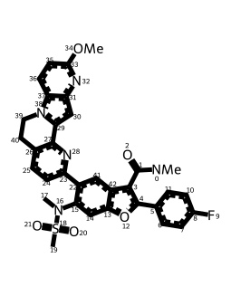 CNC(=O)c1c(-c2ccc(F)cc2)oc2cc(N(C)S(C)(=O)=O)c(-c3ccc4c(n3)-c3cc5nc(OC)ccc5n3CC4)cc12